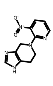 O=[N+]([O-])c1cccnc1N1CCc2[nH]cnc2C1